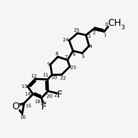 C/C=C/C1CCC(C2CCC(c3ccc(C4CO4)c(F)c3F)CC2)CC1